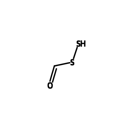 O=CSS